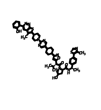 Cc1ncsc1-c1ccc([C@H](C)NC(=O)C2CC(O)CN2C(=O)[C@@H](c2cc(C3CCC(c4cnc(N5CCC(c6sc7nnc(-c8ccccc8O)cc7c6C)CC5)nc4)CC3)no2)C(C)C)cc1